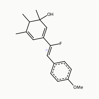 COc1ccc(/C=C(\F)C2=CC(C)(O)C(C)C(C)=C2)cc1